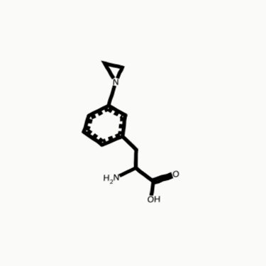 NC(Cc1cccc(N2CC2)c1)C(=O)O